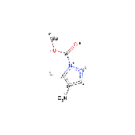 Cc1c([N+](=O)[O-])cnn1C(=O)OC(C)(C)C